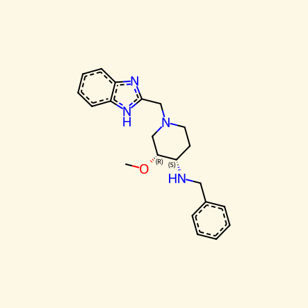 CO[C@@H]1CN(Cc2nc3ccccc3[nH]2)CC[C@@H]1NCc1ccccc1